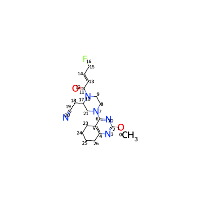 COc1nc2c(c(N3CCN(C(=O)/C=C/CF)C(CC#N)C3)n1)CCCC2